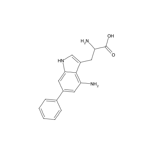 Nc1cc(-c2ccccc2)cc2[nH]cc(CC(N)C(=O)O)c12